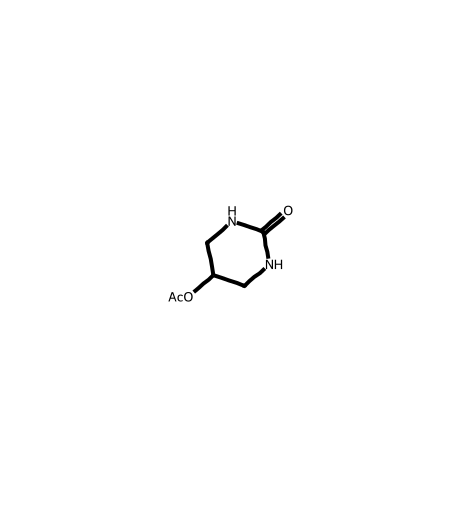 CC(=O)OC1CNC(=O)NC1